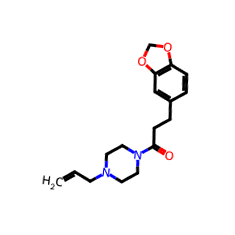 C=CCN1CCN(C(=O)CCc2ccc3c(c2)OCO3)CC1